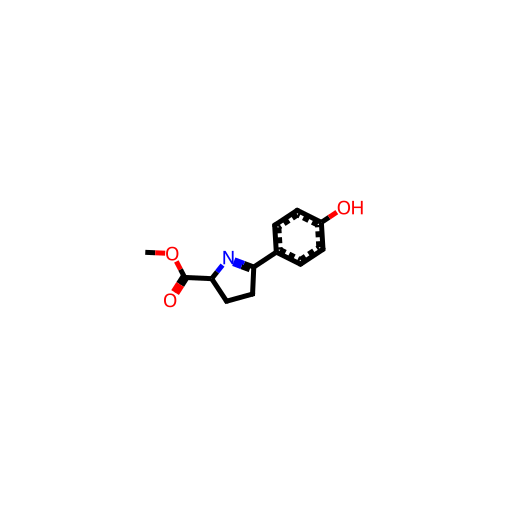 COC(=O)C1CCC(c2ccc(O)cc2)=N1